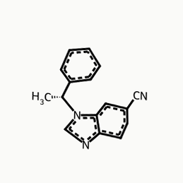 C[C@H](c1ccccc1)n1cnc2ccc(C#N)cc21